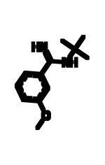 COc1cccc(C(=N)NC(C)(C)C)c1